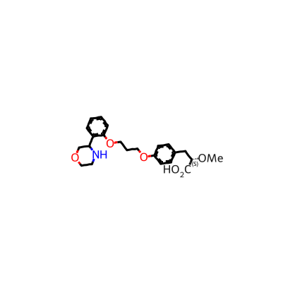 CO[C@@H](Cc1ccc(OCCCOc2ccccc2C2COCCN2)cc1)C(=O)O